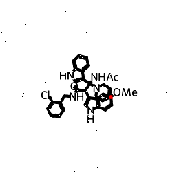 COc1ccc2[nH]cc(C(C(=O)NCc3ccccc3Cl)C(NC(C)=O)(c3c[nH]c4ccccc34)N3CC=CCC3)c2c1